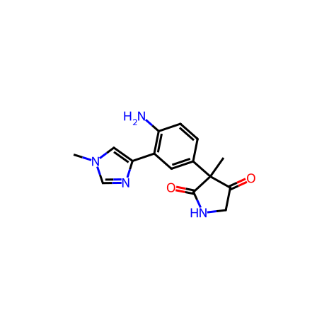 Cn1cnc(-c2cc(C3(C)C(=O)CNC3=O)ccc2N)c1